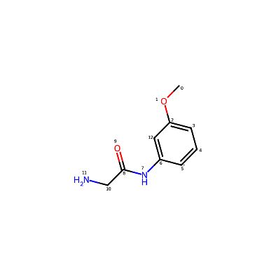 COc1cc[c]c(NC(=O)CN)c1